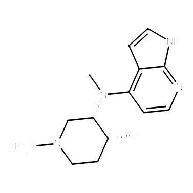 CC[C@@H]1CCN(C(=O)O)C[C@@H]1N(C)c1ccnc2[nH]ccc12